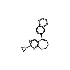 C1=C(c2ccc3ncccc3c2)c2cnc(C3CC3)nc2CCC1